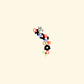 CC1(CN2CCC3(CC2)CN(S(=O)(=O)c2ccc(OC(F)F)cc2)CCO3)COC1